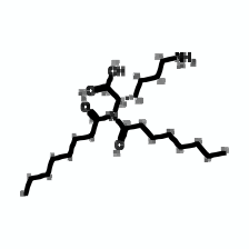 CCCCCCCC(=O)N(C(=O)CCCCCCC)[C@@H](CCCCN)C(=O)O